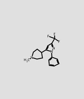 CN1CCC(c2cc(C(F)(F)F)nn2-c2ccccc2)CC1